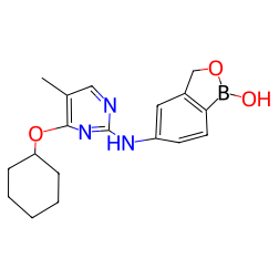 Cc1cnc(Nc2ccc3c(c2)COB3O)nc1OC1CCCCC1